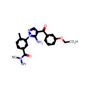 CCCN(C#N)C(=O)c1ccc(C)c(-n2ncc(C(=O)c3cccc(OCC(=O)O)c3)c2N)c1